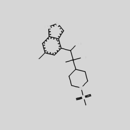 CCCS(=O)(=O)N1CCC(C(C)(C)C(O)c2cc(Cl)cc3[nH]ncc23)CC1